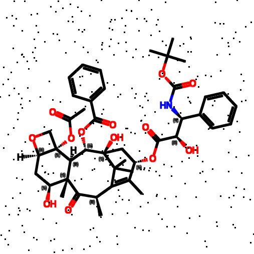 CC(=O)O[C@@]12CO[C@@H]1C[C@H](O)[C@@]1(C)C(=O)[C@H](C)C3=C(C)[C@@H](OC(=O)[C@H](O)[C@@H](NC(=O)OC(C)(C)C)c4ccccc4)C[C@@](O)([C@@H](OC(=O)c4ccccc4)[C@H]21)C3(C)C